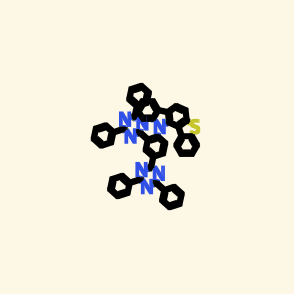 c1ccc(-c2nc(-c3ccccc3)nc(-c3ccc(-n4c5ccccc5c5ccc6sc7ccccc7c6c54)c(-c4nc(-c5ccccc5)nc(-c5ccccc5)n4)c3)n2)cc1